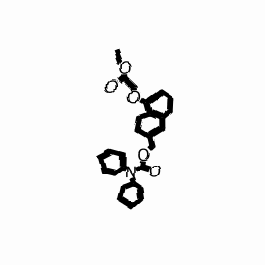 CCOC(=O)COc1cccc2c1CCC(COC(=O)N(c1ccccc1)c1ccccc1)=C2